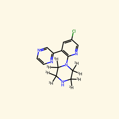 [2H]C1([2H])NC([2H])([2H])C([2H])([2H])N(c2ncc(Cl)cc2-c2cnccn2)C1([2H])[2H]